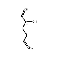 C=CCC[C@H](O)C=C